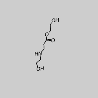 O=C(CCNCCO)OCCO